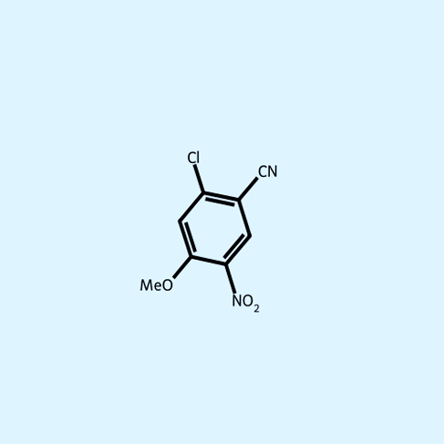 COc1cc(Cl)c(C#N)cc1[N+](=O)[O-]